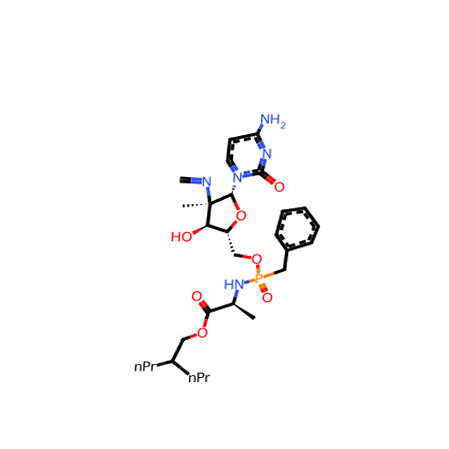 C=N[C@]1(C)[C@H](O)[C@@H](COP(=O)(Cc2ccccc2)N[C@@H](C)C(=O)OCC(CCC)CCC)O[C@H]1n1ccc(N)nc1=O